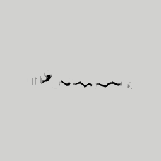 N=CC(=O)OCCOCCCCOCCCCOSI